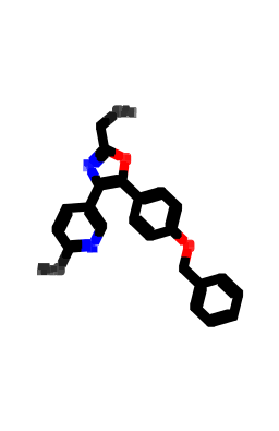 COc1ccc(-c2nc(COC(C)=O)oc2-c2ccc(OCc3ccccc3)cc2)cn1